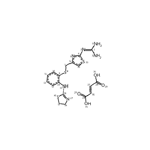 NC(N)=Nc1nc(CSc2ccccc2NC2=NCCS2)cs1.O=C(O)C=CC(=O)O